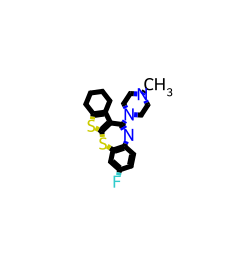 CN1CCN(C2=Nc3ccc(F)cc3Sc3sc4c(c32)CCCC4)CC1